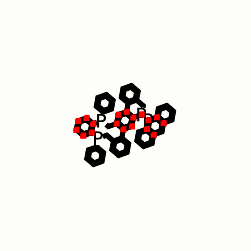 c1ccc(P(Cc2ccccc2-c2cc(CP(c3ccccc3)c3ccccc3)c(-c3ccccc3CP(c3ccccc3)c3ccccc3)cc2CP(c2ccccc2)c2ccccc2)c2ccccc2)cc1